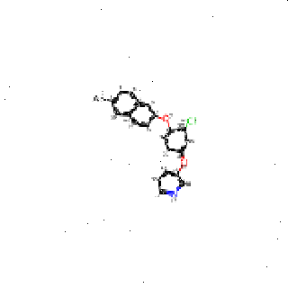 CC(=O)c1ccc2cc(Oc3ccc(Oc4cccnc4)cc3Cl)ccc2c1